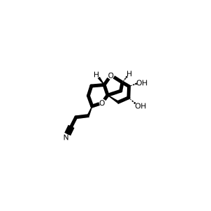 N#CCC[C@H]1CC[C@@H]2O[C@@H]3C[C@]2(C[C@@H](O)[C@H]3O)O1